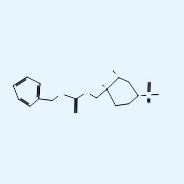 CS(=O)(=O)[C@H]1CC[C@](O)(CNC(=O)OCc2ccccc2)[C@@H](O)C1